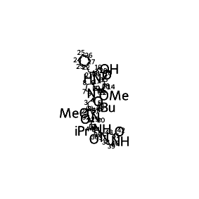 CC[C@H](C)[C@@H]([C@H](CC(=O)N1CCC[C@H]1[C@H](OC)[C@@H](C)C(=O)N[C@H](CO)Cc1ccccc1)OC)N(C)C(=O)[C@@H](NC(=O)N1CCNC(=O)C1)C(C)C